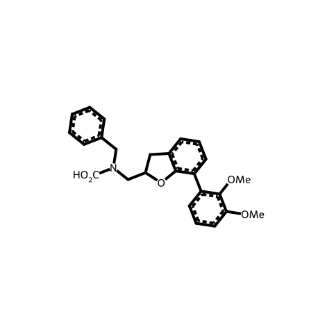 COc1cccc(-c2cccc3c2OC(CN(Cc2ccccc2)C(=O)O)C3)c1OC